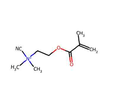 C=C(C)C(=O)OCC[N+](C)(C)C#N